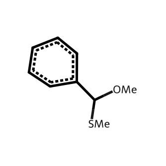 [CH2]SC(OC)c1ccccc1